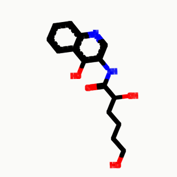 O=C(Nc1cnc2ccccc2c1O)C(O)CCCCO